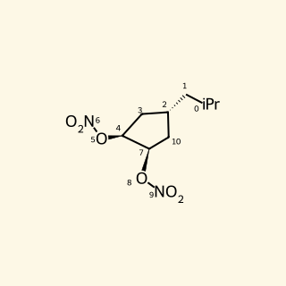 CC(C)C[C@H]1C[C@H](O[N+](=O)[O-])[C@H](O[N+](=O)[O-])C1